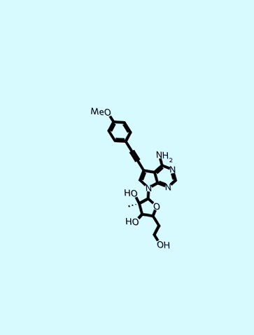 COc1ccc(C#Cc2cn(C3OC(CCO)C(O)[C@@]3(C)O)c3ncnc(N)c23)cc1